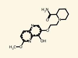 COc1ccc2ncc(OCCN3CC[CH]CC3C(N)=O)c(O)c2n1